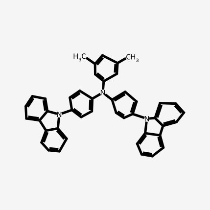 Cc1cc(C)cc(N(c2ccc(-n3c4ccccc4c4ccccc43)cc2)c2ccc(-n3c4ccccc4c4ccccc43)cc2)c1